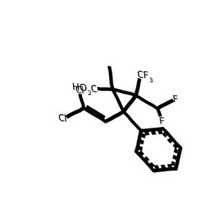 CC1(C(=O)O)C(C=C(Cl)Cl)(c2ccccc2)C1(C(F)F)C(F)(F)F